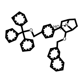 O=C(O)N1C2CCC1C(OCc1ccc3ccccc3c1)C(c1ccc(COC(c3ccccc3)(c3ccccc3)c3ccccc3)cc1)C2